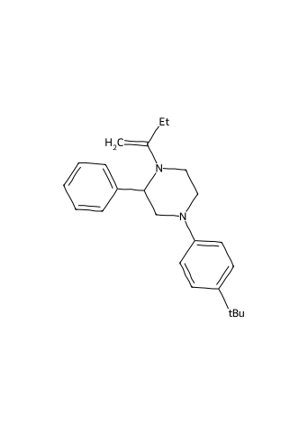 C=C(CC)N1CCN(c2ccc(C(C)(C)C)cc2)CC1c1ccccc1